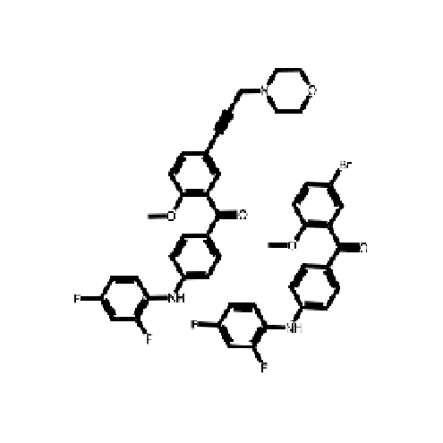 COc1ccc(Br)cc1C(=O)c1ccc(Nc2ccc(F)cc2F)cc1.COc1ccc(C#CCN2CCOCC2)cc1C(=O)c1ccc(Nc2ccc(F)cc2F)cc1